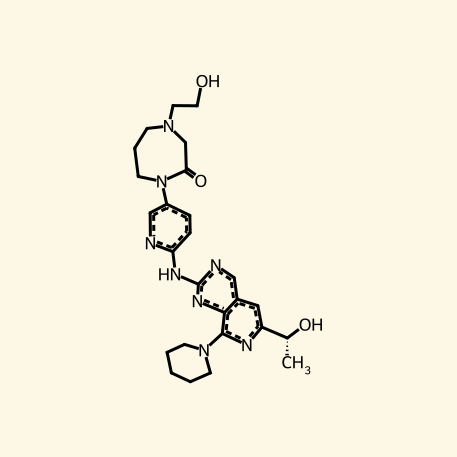 C[C@@H](O)c1cc2cnc(Nc3ccc(N4CCCN(CCO)CC4=O)cn3)nc2c(N2CCCCC2)n1